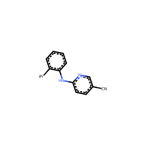 CC(C)c1ccccc1Nc1ccc(C#N)cn1